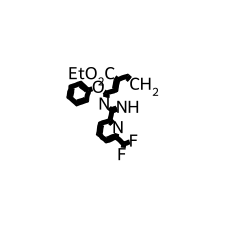 C=C/C(=C/C(=N\C(=N)c1cccc(C(F)F)n1)Oc1ccccc1)C(=O)OCC